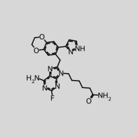 NC(=O)CCCCCn1c(Cc2cc3c(cc2-c2cc[nH]n2)OCCO3)nc2c(N)nc(F)nc21